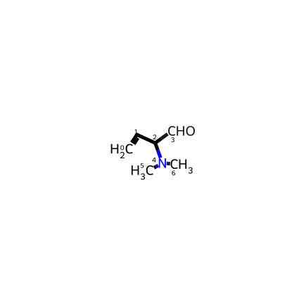 C=CC(C=O)N(C)C